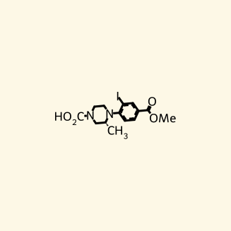 COC(=O)c1ccc(N2CCN(C(=O)O)C[C@H]2C)c(I)c1